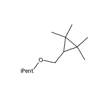 CCCC(C)OCC1C(C)(C)C1(C)C